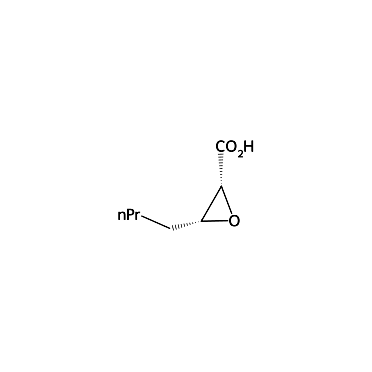 CCCC[C@H]1O[C@H]1C(=O)O